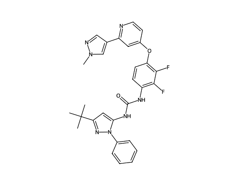 Cn1cc(-c2cc(Oc3ccc(NC(=O)Nc4cc(C(C)(C)C)nn4-c4ccccc4)c(F)c3F)ccn2)cn1